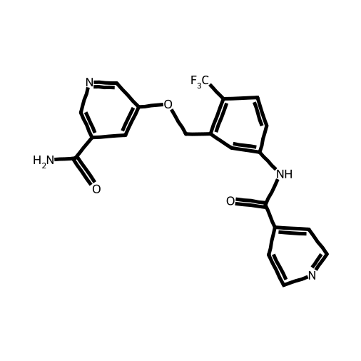 NC(=O)c1cncc(OCc2cc(NC(=O)c3ccncc3)ccc2C(F)(F)F)c1